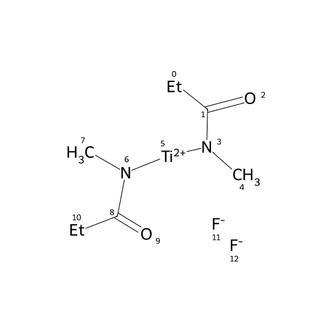 CCC(=O)[N](C)[Ti+2][N](C)C(=O)CC.[F-].[F-]